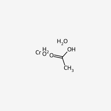 CC(=O)O.O.O.[Cr]